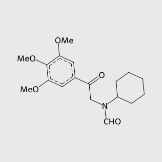 COc1cc(C(=O)CN(C=O)C2CCCCC2)cc(OC)c1OC